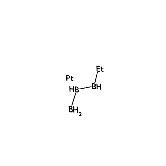 BBBCC.[Pt]